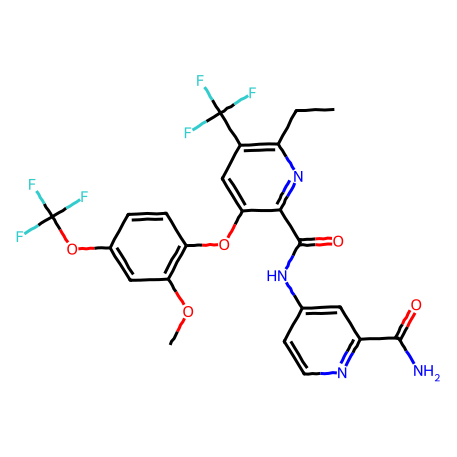 CCc1nc(C(=O)Nc2ccnc(C(N)=O)c2)c(Oc2ccc(OC(F)(F)F)cc2OC)cc1C(F)(F)F